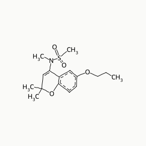 CCCOc1ccc2c(c1)C(N(C)S(C)(=O)=O)=CC(C)(C)O2